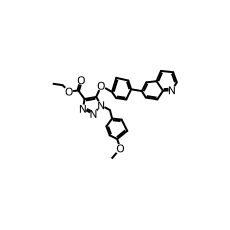 CCOC(=O)c1nnn(Cc2ccc(OC)cc2)c1Oc1ccc(-c2ccc3ncccc3c2)cc1